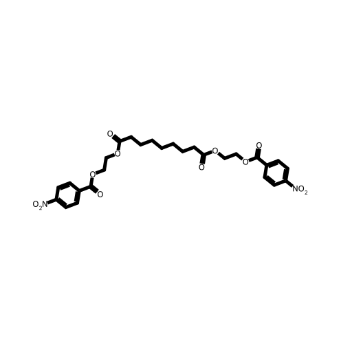 O=C(CCCCCCCC(=O)OCCOC(=O)c1ccc([N+](=O)[O-])cc1)OCCOC(=O)c1ccc([N+](=O)[O-])cc1